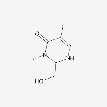 CC1=CNC(CO)N(C)C1=O